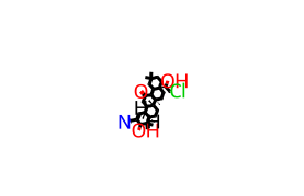 CC1(C)CC[C@]2(C(O)CCl)CC[C@]3(C)C(C(=O)C[C@@H]4[C@@]5(C)C=C(C#N)C(O)C(C)(C)[C@@H]5CC[C@]43C)C2C1